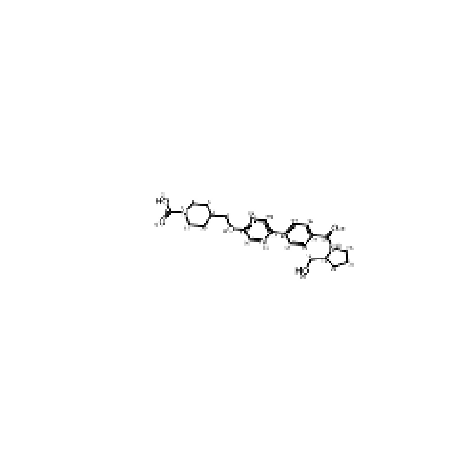 O=C(O)N1CCC(COc2cnc(-c3ccc(C(=O)N4CCC[C@H]4CO)cc3)cn2)CC1